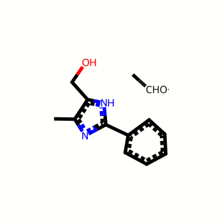 C[C]=O.Cc1nc(-c2ccccc2)[nH]c1CO